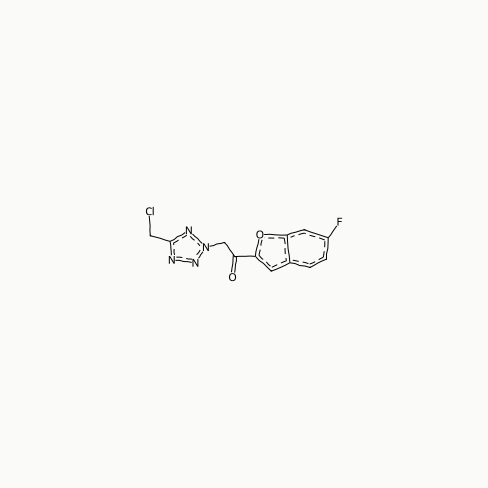 O=C(Cn1nnc(CCl)n1)c1cc2ccc(F)cc2o1